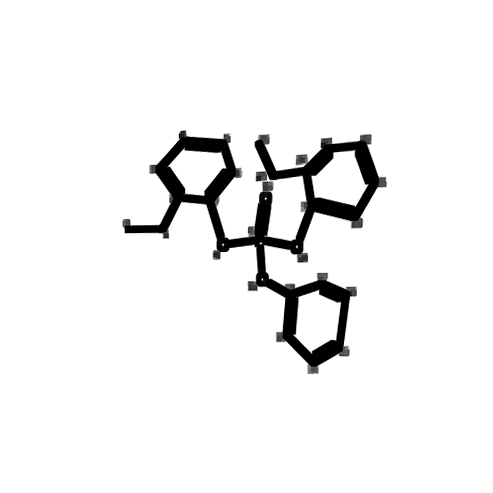 CCc1ccccc1OP(=O)(Oc1ccccc1)Oc1ccccc1CC